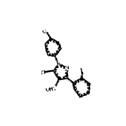 O=Cc1c(-c2ccccc2F)nn(-c2ccc(Cl)cc2)c1Cl